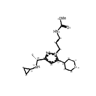 COC(=O)NCCCn1nc([C@@H](C)NC2CC2)cc1C1CCOCC1